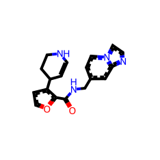 O=C(NCc1ccn2ccnc2c1)c1occc1C1C=CNCC1